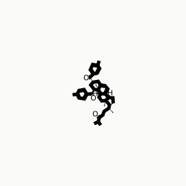 Cc1ccc(C(=O)[C@@H]2CC3=CC=C4[C@@H]5CC[C@H]([C@H](C)CCC(=O)C(C)C)[C@@]5(C)CC[C@@H]4[C@@]3(C)[C@@H](C(=O)c3ccc(C)cc3)C2)cc1